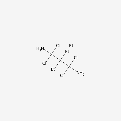 CCC(CC)(C(N)(Cl)Cl)C(N)(Cl)Cl.[Pt]